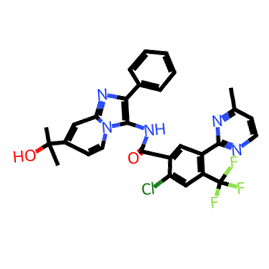 Cc1ccnc(-c2cc(C(=O)Nc3c(-c4ccccc4)nc4cc(C(C)(C)O)ccn34)c(Cl)cc2C(F)(F)F)n1